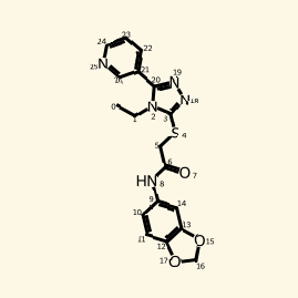 CCn1c(SCC(=O)Nc2ccc3c(c2)OCO3)nnc1-c1cccnc1